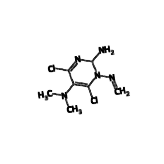 C=NN1C(Cl)=C(N(C)C)C(Cl)=NC1N